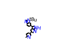 Cc1ccc(-c2cnc3[nH]cc(-c4ccc5ncn(C(C)(C)C)c5c4)c3c2)cn1